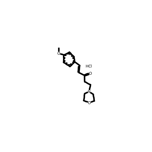 COc1ccc(/C=C/C(=O)CCN2CCOCC2)cc1.Cl